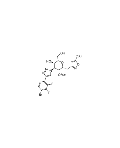 CO[C@@H]1[C@@H](n2cc(-c3ccc(Br)c(F)c3F)nn2)[C@@H](O)[C@@H](CO)O[C@@H]1Cc1cc(C(C)(C)C)on1